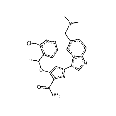 CC(Oc1cc(-c2cnc3ccc(CN(C)C)cn23)sc1C(N)=O)c1ccccc1Cl